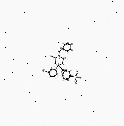 CC1CC(C#N)(c2cc(F)ccc2-c2ccc(S(C)(=O)=O)cc2)CCN1Cc1ccccc1